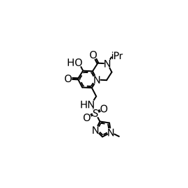 CC(C)N1CCn2c(CNS(=O)(=O)c3cn(C)cn3)cc(=O)c(O)c2C1=O